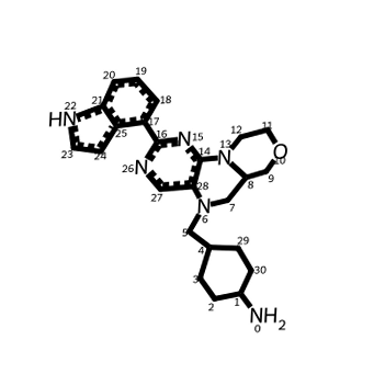 NC1CCC(CN2CC3COCCN3c3nc(-c4cccc5[nH]ccc45)ncc32)CC1